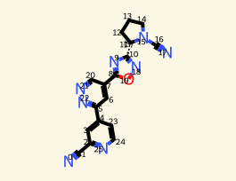 N#Cc1cc(-c2cc(-c3nc([C@@H]4CCCN4C#N)no3)cnn2)ccn1